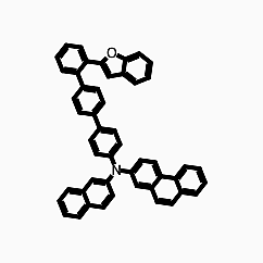 c1ccc(-c2cc3ccccc3o2)c(-c2ccc(-c3ccc(N(c4ccc5ccccc5c4)c4ccc5c(ccc6ccccc65)c4)cc3)cc2)c1